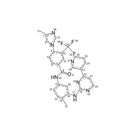 Cc1cn(-c2ccc(C(=O)Nc3ccc(C)c(Nc4nccc(-c5cccnc5)n4)c3)cc2C(F)(F)F)cn1